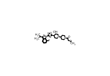 COCC(=O)N1CCC(N2CCC(c3nc(-n4nc(C(C)C)c5cccc(F)c54)no3)CC2)CC1.Cl